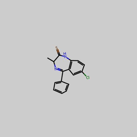 CC1N=C(c2ccccc2)c2cc(Cl)ccc2NC1=S